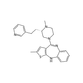 Cc1cc2c(s1)Nc1ccccc1N=C2N1CCN(C)[C@@H](CCc2cccnc2)C1